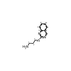 NCCCSc1ncc2ccccc2n1